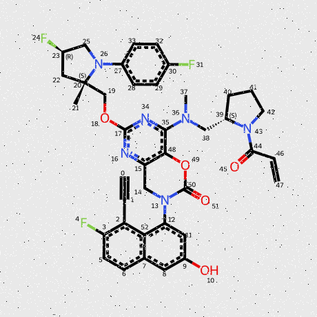 C#Cc1c(F)ccc2cc(O)cc(N3Cc4nc(OC[C@]5(C)C[C@@H](F)CN5c5ccc(F)cc5)nc(N(C)C[C@@H]5CCCN5C(=O)C=C)c4OC3=O)c12